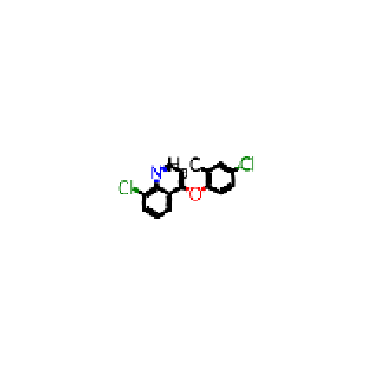 Cc1cc(Cl)ccc1Oc1ccnc2c(Cl)cccc12